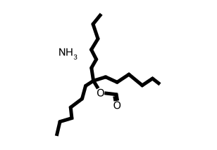 CCCCCCC(CCCCCC)(CCCCCC)OC=O.N